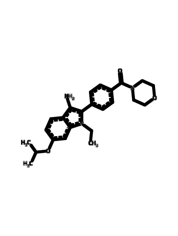 CCn1c(-c2ccc(C(=O)N3CCOCC3)cc2)c(N)c2ccc(OC(C)C)cc21